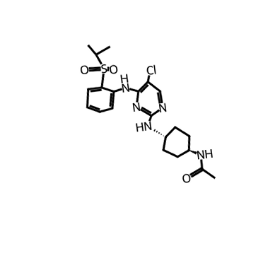 CC(=O)N[C@H]1CC[C@H](Nc2ncc(Cl)c(Nc3ccccc3S(=O)(=O)C(C)C)n2)CC1